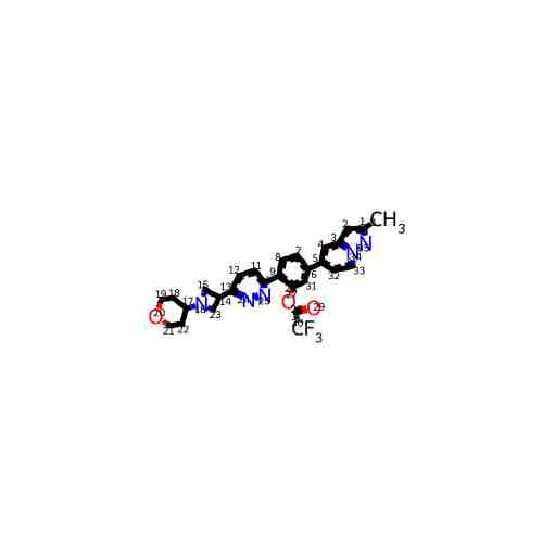 Cc1cc2cc(-c3ccc(-c4ccc(C5CN(C6CCOCC6)C5)nn4)c(OC(=O)C(F)(F)F)c3)ccn2n1